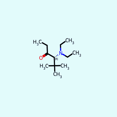 CCC(=O)[C@H](N(CC)CC)C(C)(C)C